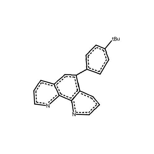 CC(C)(C)c1ccc(-c2cc3cccnc3c3ncccc23)cc1